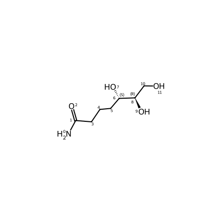 NC(=O)CCC[C@H](O)[C@H](O)CO